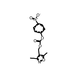 Cc1noc(C)c1COC(=O)Oc1ccc([N+](=O)[O-])cc1